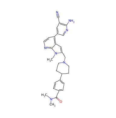 CN(C)C(=O)c1ccc(C2CCN(Cc3cc4c(-c5cnc(N)c(C#N)c5)ccnc4n3C)CC2)cc1